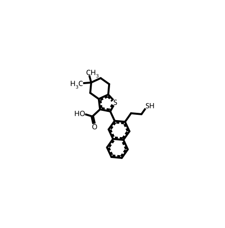 CC1(C)CCc2sc(-c3cc4ccccc4cc3CCS)c(C(=O)O)c2C1